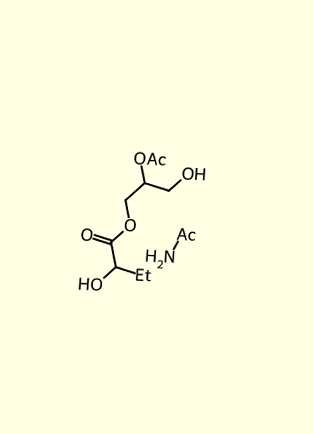 CC(N)=O.CCC(O)C(=O)OCC(CO)OC(C)=O